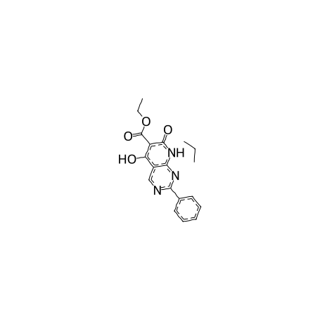 CCC.CCOC(=O)c1c(O)c2cnc(-c3ccccc3)nc2[nH]c1=O